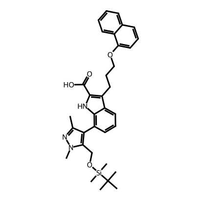 Cc1nn(C)c(CO[Si](C)(C)C(C)(C)C)c1-c1cccc2c(CCCOc3cccc4ccccc34)c(C(=O)O)[nH]c12